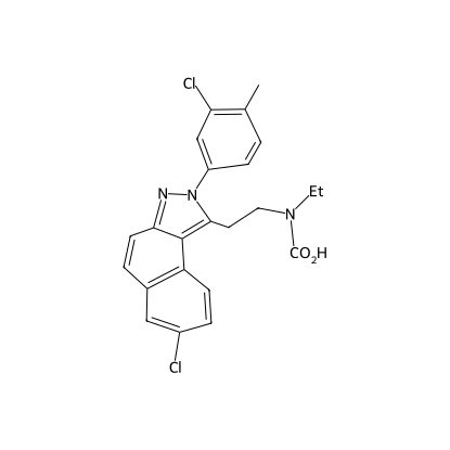 CCN(CCc1c2c(ccc3cc(Cl)ccc32)nn1-c1ccc(C)c(Cl)c1)C(=O)O